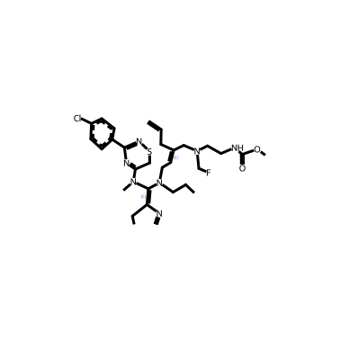 C=CC/C(=C\CN(CCC)/C(=C(/CC)N=C)N(C)C1=NC(c2ccc(Cl)cc2)=NSC1)CN(CF)CCNC(=O)OC